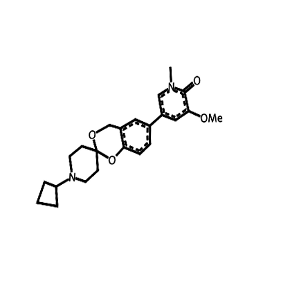 COc1cc(-c2ccc3c(c2)COC2(CCN(C4CCC4)CC2)O3)cn(C)c1=O